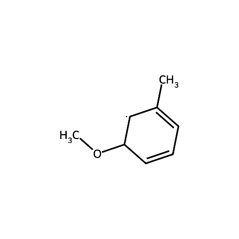 COC1[CH]C(C)=CC=C1